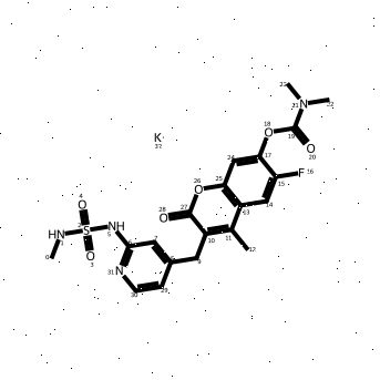 CNS(=O)(=O)Nc1cc(Cc2c(C)c3cc(F)c(OC(=O)N(C)C)cc3oc2=O)ccn1.[K]